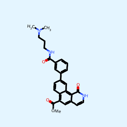 COC(=O)c1cc2cc[nH]c(=O)c2c2cc(-c3cccc(C(=O)NCCCN(C)C)c3)ccc12